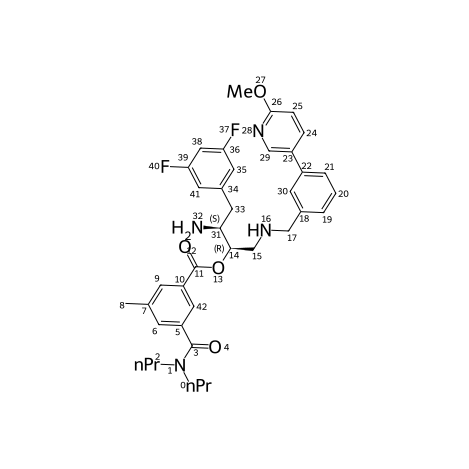 CCCN(CCC)C(=O)c1cc(C)cc(C(=O)O[C@H](CNCc2cccc(-c3ccc(OC)nc3)c2)[C@@H](N)Cc2cc(F)cc(F)c2)c1